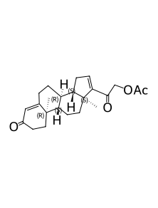 CC(=O)OCC(=O)C1=CC[C@H]2[C@@H]3CCC4=CC(=O)CC[C@]4(C)[C@H]3CC[C@]12C